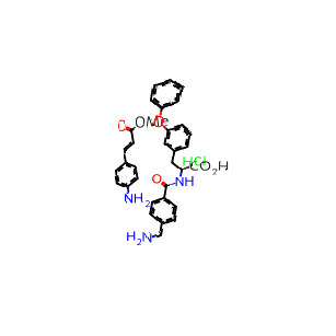 COC(=O)/C=C/c1ccc(N)cc1.Cl.NCc1ccc(C(=O)N[C@@H](Cc2cccc(Oc3ccccc3)c2)C(=O)O)cc1